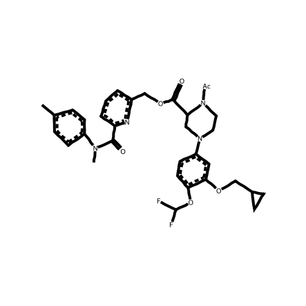 CC(=O)N1CCN(c2ccc(OC(F)F)c(OCC3CC3)c2)CC1C(=O)OCc1cccc(C(=O)N(C)c2ccc(C)cc2)n1